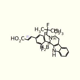 B[C@@]1(c2c(F)cc(/C=C/C(=O)O)cc2F)c2[nH]c3ccccc3c2C[C@@H](C)N1CC(C)(C)F